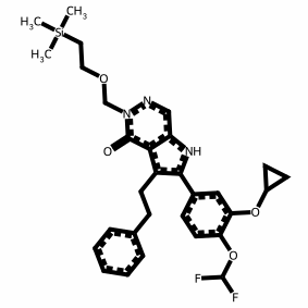 C[Si](C)(C)CCOCn1ncc2[nH]c(-c3ccc(OC(F)F)c(OC4CC4)c3)c(CCc3ccccc3)c2c1=O